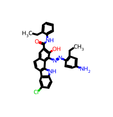 CCc1cc(N)ccc1N=Nc1c(O)c(C(=O)Nc2ccccc2CC)cc2ccc3c4cc(Cl)ccc4[nH]c3c12